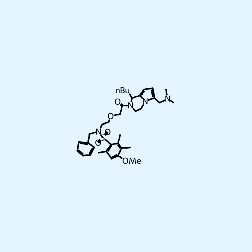 CCCCC1c2ccc(CN(C)C)n2CCN1C(=O)COCCN(Cc1ccccc1)S(=O)(=O)c1c(C)cc(OC)c(C)c1C